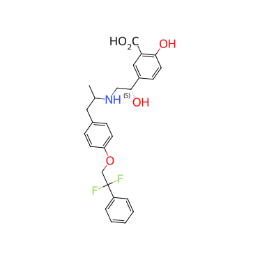 CC(Cc1ccc(OCC(F)(F)c2ccccc2)cc1)NC[C@@H](O)c1ccc(O)c(C(=O)O)c1